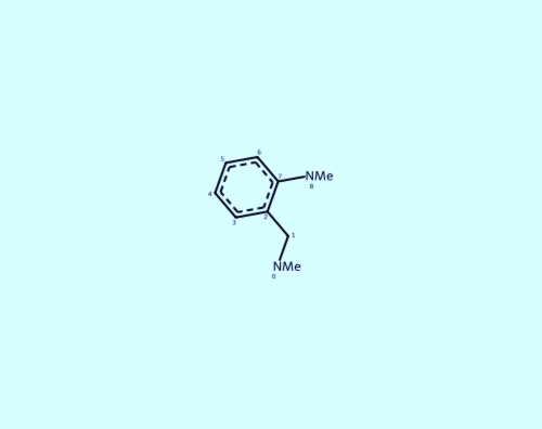 CNCc1ccccc1NC